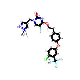 Cn1cc(Cn2cc(F)c(OCCc3ccc(Oc4ccc(Cl)c(C(F)(F)F)c4)cc3)nc2=O)cn1